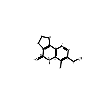 Cc1c(CO)cnc2c3c(c(=O)[nH]c12)CCC3